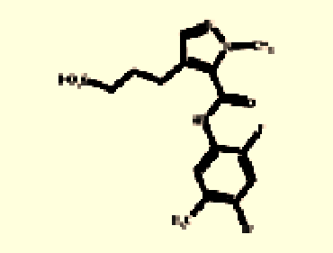 Cc1cc(NC(=O)c2c(CCCS(=O)(=O)O)cnn2C)c(F)cc1Br